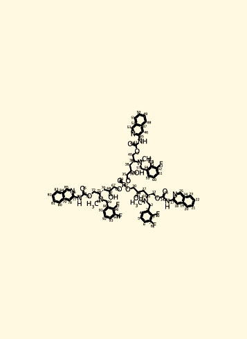 CN(Cc1cccc(F)c1F)[C@H](COC(=O)Nc1cc2ccccc2cn1)C[C@H](O)COP(=O)(OC[C@@H](O)C[C@@H](COC(=O)Nc1cc2ccccc2cn1)N(C)Cc1cccc(F)c1F)OC[C@@H](O)C[C@@H](COC(=O)Nc1cc2ccccc2cn1)N(C)Cc1cccc(F)c1F